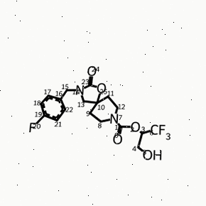 O=C(OC(CO)C(F)(F)F)N1CCC2(CC1)CN(Cc1ccc(F)cc1)C(=O)O2